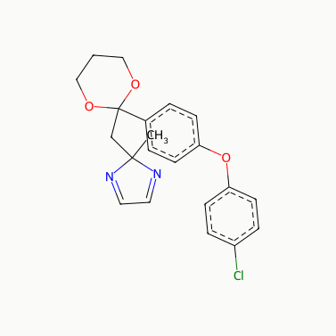 CC1(CC2(c3ccc(Oc4ccc(Cl)cc4)cc3)OCCCO2)N=CC=N1